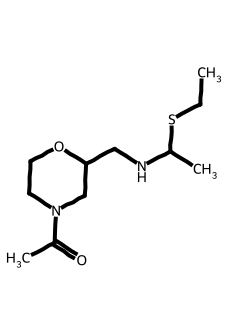 CCSC(C)NCC1CN(C(C)=O)CCO1